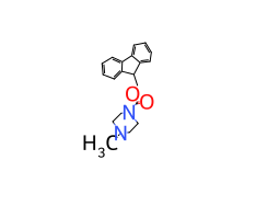 CN1CCN(C(=O)OCC2c3ccccc3-c3ccccc32)CC1